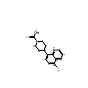 O=C(O)N1CCC(c2ccc(F)c3cccnc23)CC1